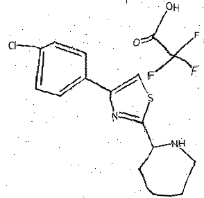 Clc1ccc(-c2csc(C3CCCCN3)n2)cc1.O=C(O)C(F)(F)F